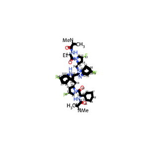 CC[C@H](NC(=O)[C@H](C)NC)C(=O)N1C[C@@H](F)C[C@H]1Cn1c(-c2[nH]c3cc(F)ccc3c2C[C@@H]2C[C@H](F)CN2C(=O)C(NC(=O)[C@H](C)NC)C2CCCCC2)nc2cc(F)ccc21